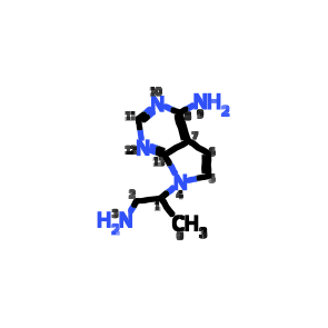 CC(CN)n1ccc2c(N)ncnc21